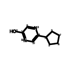 Oc1cnc(C2CCCC2)cn1